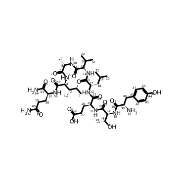 CC[C@H](C)[C@H](NC(=O)[C@H](C)NC(=O)[C@@H](NC(=O)[C@H](CC(C)C)NC(=O)[C@H](CCC(=O)O)NC(=O)[C@@H](NC(=O)[C@@H](N)Cc1ccc(O)cc1)[C@@H](C)O)C(C)C)C(=O)N[C@@H](CCC(N)=O)C(N)=O